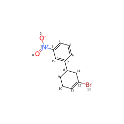 O=[N+]([O-])c1cccc(C2CCC=C(Br)C2)c1